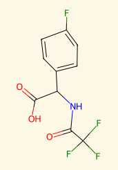 O=C(O)C(NC(=O)C(F)(F)F)c1ccc(F)cc1